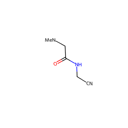 CNCC(=O)NCC#N